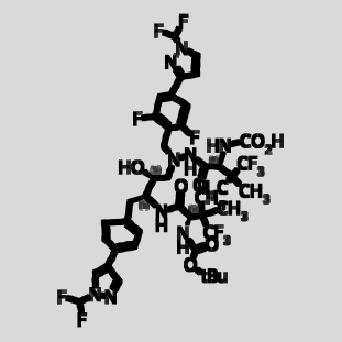 CC(C)(C)OC(=O)N[C@H](C(=O)N[C@@H](Cc1ccc(-c2cnn(C(F)F)c2)cc1)[C@@H](O)CN(Cc1c(F)cc(-c2ccn(C(F)F)n2)cc1F)NC(=O)[C@@H](NC(=O)O)C(C)(C)C(F)(F)F)C(C)(C)C(F)(F)F